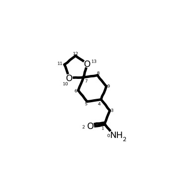 NC(=O)CC1CCC2(CC1)OCCO2